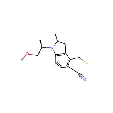 COC[C@@H](C)N1c2ccc(C#N)c(CF)c2CC1C